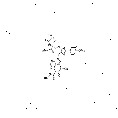 CNC(=O)C1(NC(=O)OC(C)(C)C)CCCN(c2sc(-c3ccc(OC)c(F)c3)nc2Cn2cnc3c(N(C(=O)OC(C)(C)C)C(=O)OC(C)(C)C)ncnc32)C1